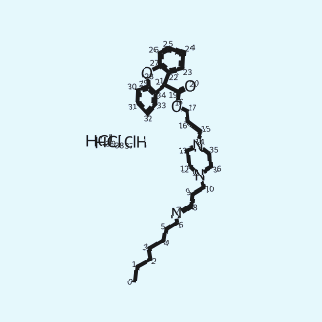 CCCCCCCN=CCCN1CCN(CCCOC(=O)C2c3ccccc3Oc3ccccc32)CC1.Cl.Cl.Cl